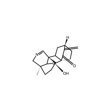 C=C1C(=O)[C@]23CC[C@H]1CC2[C@]12C=NC[C@](C)(CCC1)C2C[C@H]3O